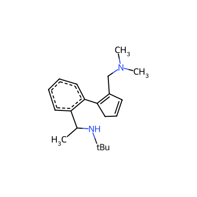 CC(NC(C)(C)C)c1ccccc1C1=C(CN(C)C)C=CC1